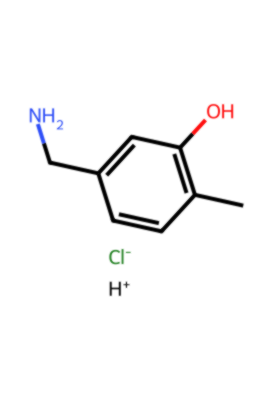 Cc1ccc(CN)cc1O.[Cl-].[H+]